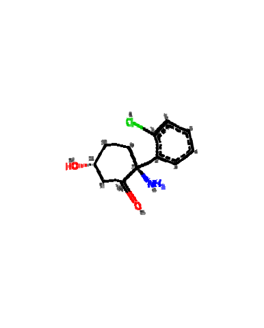 N[C@]1(c2ccccc2Cl)CC[C@@H](O)CC1=O